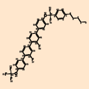 CCCCCc1ccc(C(F)(F)Oc2ccc(-c3ccc(-c4ccc(-c5ccc(OC(F)(F)F)cc5)c(F)c4)c(F)c3)cc2)cc1